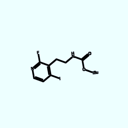 CC(C)(C)OC(=O)NCCc1c(I)ccnc1F